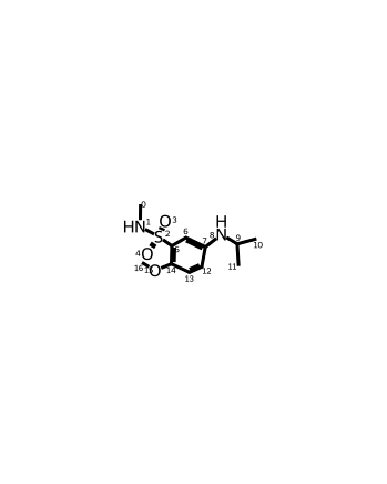 CNS(=O)(=O)c1cc(NC(C)C)ccc1OC